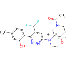 CC(=O)N1CC[C@H]2OCCN(c3cc(C(F)F)c(-c4ccc(C)cc4O)nn3)[C@H]2C1